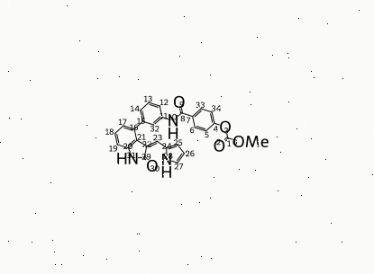 COC(=O)Oc1ccc(C(=O)Nc2cccc(-c3cccc4c3/C(=C/c3ccc[nH]3)C(=O)N4)c2)cc1